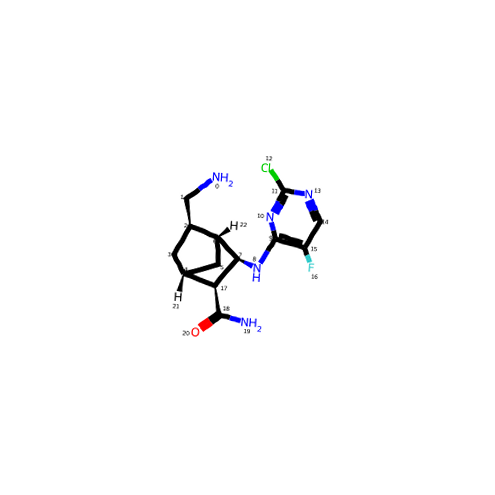 NC[C@@H]1C[C@@H]2C[C@H]1[C@@H](Nc1nc(Cl)ncc1F)[C@H]2C(N)=O